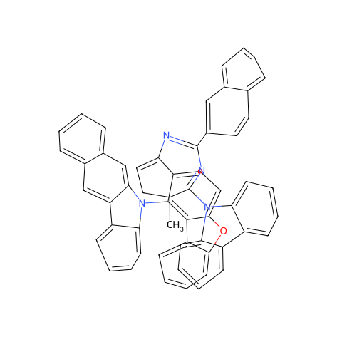 CC1C/C=C(c2ccc3oc4ccccc4c3c2-n2c3ccccc3c3cc4ccccc4cc32)/N=C(c2ccc3ccccc3c2)\N=C/1n1c2ccccc2c2ccccc21